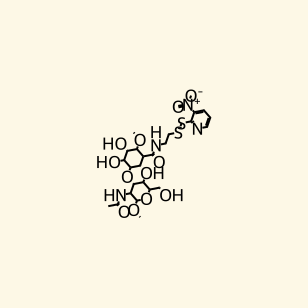 COC1OC(CO)C(O)C(OC2CC(C(=O)NCCSSc3ncccc3[N+](=O)[O-])C(OC)C(O)C2O)C1NC(C)=O